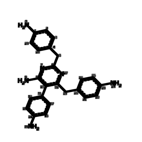 Nc1ccc(Cc2nc(N)c(-c3ccc(N)cc3)c(Cc3ccc(N)cc3)n2)cc1